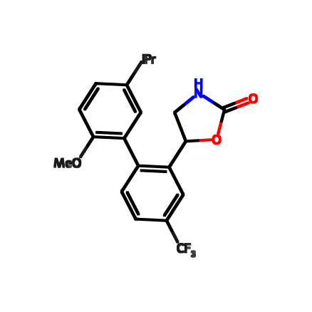 COc1ccc(C(C)C)cc1-c1ccc(C(F)(F)F)cc1C1CNC(=O)O1